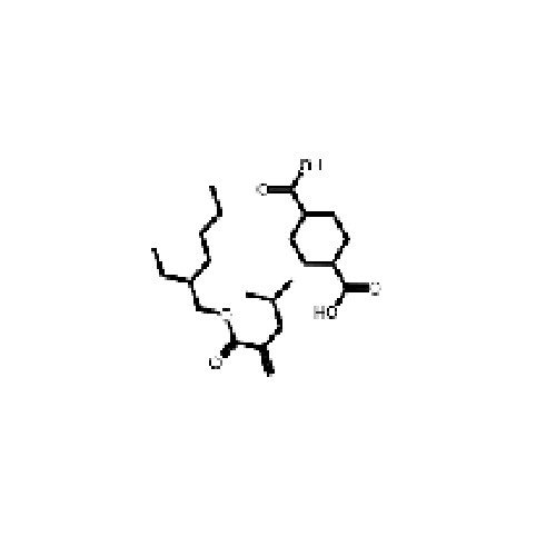 C=C(CC(C)C)C(=O)OCC(CC)CCCC.O=C(O)C1CCC(C(=O)O)CC1